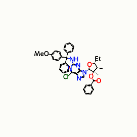 CC[C@H]1O[C@@H](n2cnc3c(Cl)nc(NC(c4ccccc4)(c4ccccc4)c4ccc(OC)cc4)nc32)[C@](C)(OC(=O)c2ccccc2)[C@@H]1C